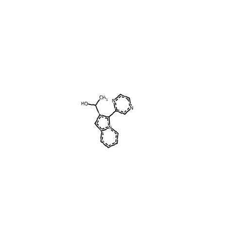 CC(O)c1cc2ccccn2c1-c1cnccn1